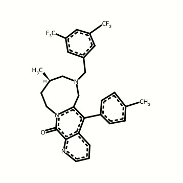 Cc1ccc(-c2c3n(c(=O)c4ncccc24)CC[C@@H](C)CN(Cc2cc(C(F)(F)F)cc(C(F)(F)F)c2)C3)cc1